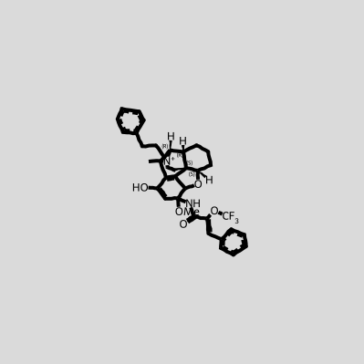 COC1(NC(=O)C(=Cc2ccccc2)OC(F)(F)F)C=C(O)C2=C3C1O[C@H]1CCC[C@H]4[C@@H](C2)[N+](C)(CCc2ccccc2)CC[C@]314